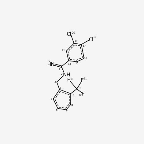 N=C(NCc1ccccc1C(F)(F)F)c1ccc(Cl)c(Cl)c1